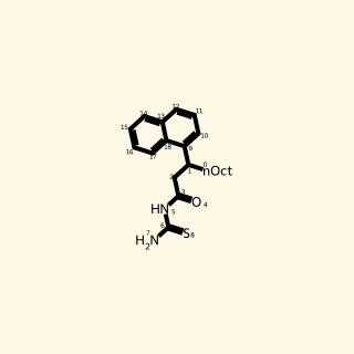 CCCCCCCCC(CC(=O)NC(N)=S)c1cccc2ccccc12